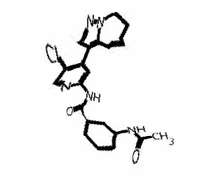 CC(=O)NC1CCC[C@@H](C(=O)Nc2cc(-c3cnn4c3CCCC4)c(Cl)cn2)C1